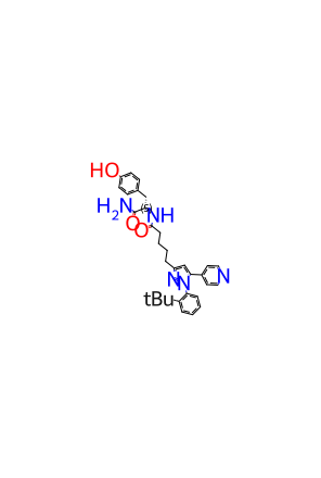 CC(C)(C)c1ccccc1-n1nc(CCCCC(=O)N[C@@H](Cc2ccc(O)cc2)C(N)=O)cc1-c1ccncc1